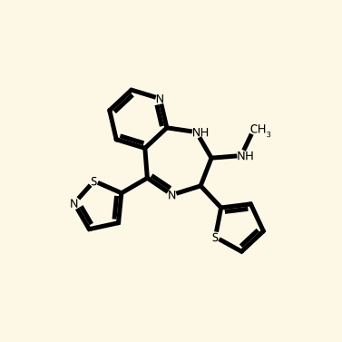 CNC1Nc2ncccc2C(c2ccns2)=NC1c1cccs1